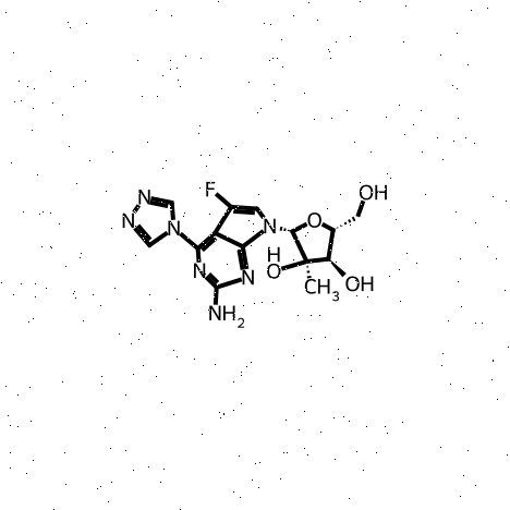 C[C@@]1(O)[C@H](O)[C@@H](CO)O[C@H]1n1cc(F)c2c(-n3cnnc3)nc(N)nc21